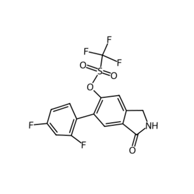 O=C1NCc2cc(OS(=O)(=O)C(F)(F)F)c(-c3ccc(F)cc3F)cc21